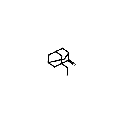 CCC12CC3CC(CC(C3)C1=O)C2